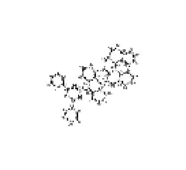 c1ccc(-c2cc(-c3ccccc3)nc(-c3c4ccccc4c(-c4nc5ccccc5c5c4ccc4ccc6cccnc6c45)c4ccccc34)n2)cc1